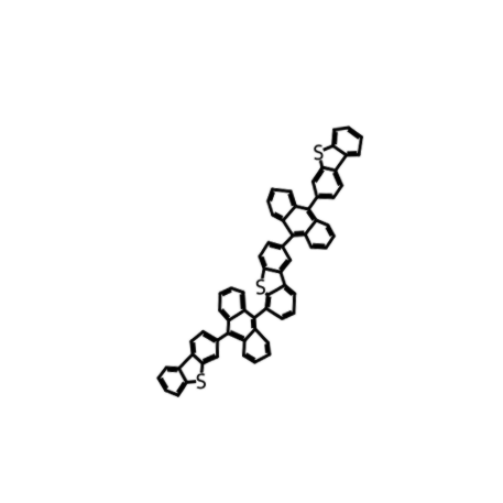 c1ccc2c(c1)sc1cc(-c3c4ccccc4c(-c4ccc5sc6c(-c7c8ccccc8c(-c8ccc9c(c8)sc8ccccc89)c8ccccc78)cccc6c5c4)c4ccccc34)ccc12